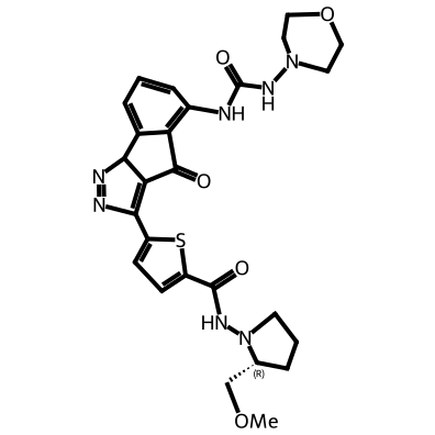 COC[C@H]1CCCN1NC(=O)c1ccc(C2=C3C(=O)c4c(NC(=O)NN5CCOCC5)cccc4C3N=N2)s1